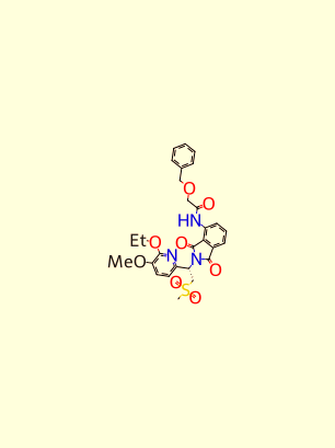 CCOc1nc([C@@H](CS(C)(=O)=O)N2C(=O)c3cccc(NC(=O)COCc4ccccc4)c3C2=O)ccc1OC